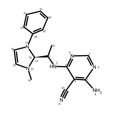 CC(Nc1ncnc(N)c1C#N)[C@H]1N(C)C=CN1c1ccccc1